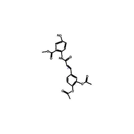 COC(=O)c1cc(O)ccc1NC(=O)/C=C/c1ccc(OC(C)=O)c(OC(C)=O)c1